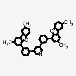 Cc1ccc2oc3c(-c4cccc(-c5cncc(-c6cccc(-c7cc(C)cc8c7oc7ccc(C)cc78)c6)c5)c4)cc(C)cc3c2c1